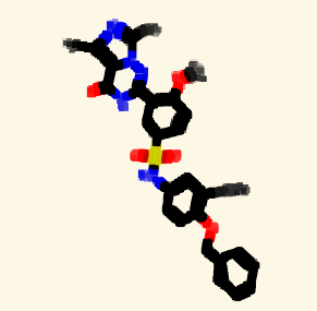 CCCc1nc(C)c2c(=O)[nH]c(-c3cc(S(=O)(=O)Nc4ccc(OCc5ccccc5)c(OC)c4)ccc3OCC)nn12